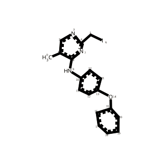 Cc1cnc(CI)nc1Nc1ccc(Oc2ccccc2)cc1